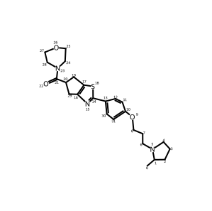 CC1CCCN1CCCOc1ccc(-c2nc3c(s2)CC(C(=O)N2CCOCC2)C3)cc1